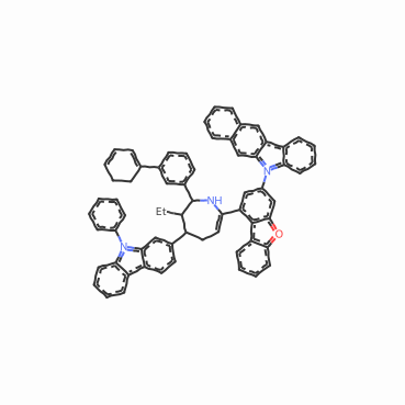 CCC1C(c2ccc3c4ccccc4n(-c4ccccc4)c3c2)CC=C(c2cc(-n3c4ccccc4c4cc5ccccc5cc43)cc3oc4ccccc4c23)NC1c1cccc(C2=CC=CCC2)c1